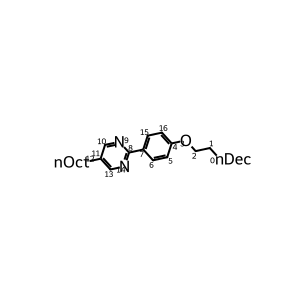 CCCCCCCCCCCCOc1ccc(-c2ncc(CCCCCCCC)cn2)cc1